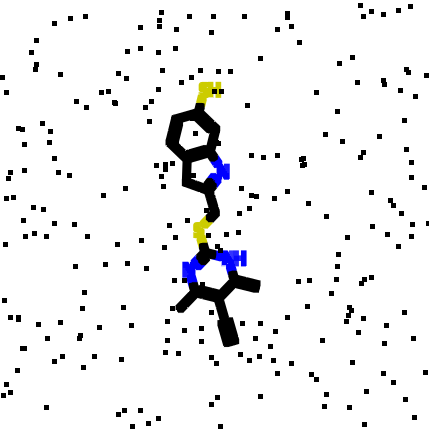 C#CC1=C(C)N=C(SCC2=Nc3cc(S)ccc3C2)NC1=C